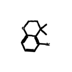 CC(=O)c1cccc2c1C(C)(C)CCO2